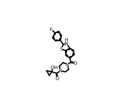 O=C(c1ccc2c(c1)SC(c1ccc(F)cc1)N2)N1CCN(C(=O)C2(O)CC2)CC1